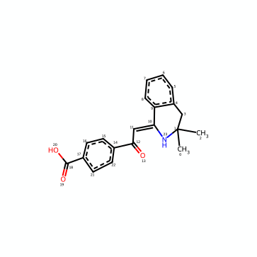 CC1(C)Cc2ccccc2C(=CC(=O)c2ccc(C(=O)O)cc2)N1